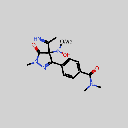 CON(O)C1(C(C)=N)C(=O)N(C)N=C1c1ccc(C(=O)N(C)C)cc1